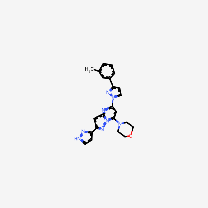 Cc1cccc(-c2ccn(-c3cc(N4CCOCC4)n4nc(-c5cc[nH]n5)cc4n3)n2)c1